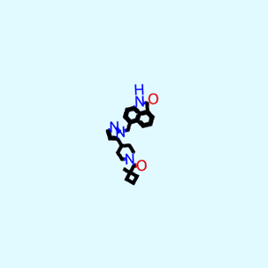 CC1(C(=O)N2CCC(c3ccnn3Cc3ccc4c5c(cccc35)C(=O)N4)CC2)CCC1